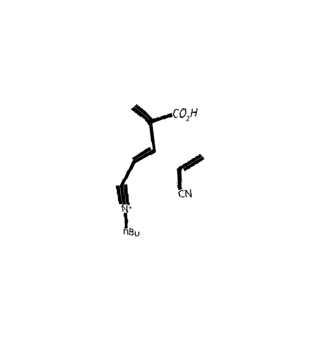 C=C(C=CC#[N+]CCCC)C(=O)O.C=CC#N